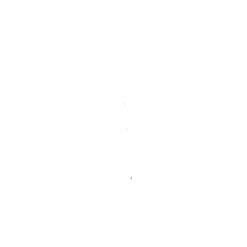 Nc1ccc(N2CCN(C3COCCOC3)CC2)cc1